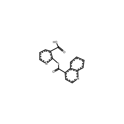 O=C(O)c1cccnc1SC(=O)c1ccnc2ccccc12